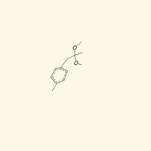 COC(C)(Cc1ccc(C)cc1)OC